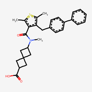 Cc1sc(C)c(C(=O)N(C)C2CC3(CC(C(=O)O)C3)C2)c1Cc1ccc(-c2ccccc2)cc1